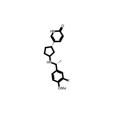 COc1ccc([C@@H](C)NC2CC[C@H](c3ccc(=O)[nH]c3)C2)cc1F